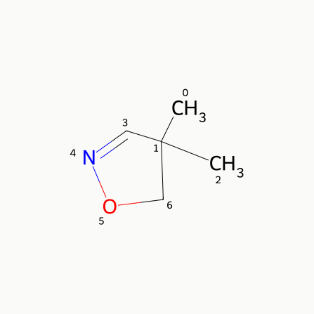 CC1(C)C=NOC1